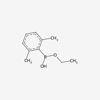 CCOB(O)c1c(C)cccc1C